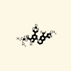 Cn1cc(-c2cc3c(cc2C(F)F)N(c2cc(-c4cnc(=O)oc4)cc4c2CNC4C(=O)OC(C)(C)C)CCC3)cn1